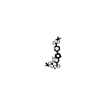 COC(=O)C(Cc1ccc(C2CCC(C(=O)OC(C)(C)C)CC2)cc1)NC(=O)OC(C)(C)C